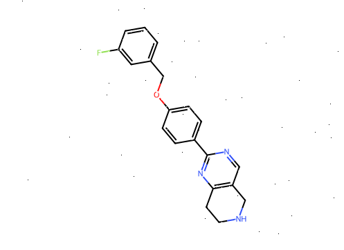 Fc1cccc(COc2ccc(-c3ncc4c(n3)CCNC4)cc2)c1